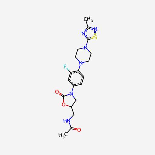 CC(=O)NCC1CN(c2ccc(N3CCN(c4nc(C)ns4)CC3)c(F)c2)C(=O)O1